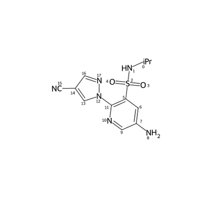 CC(C)NS(=O)(=O)c1cc(N)cnc1-n1cc(C#N)cn1